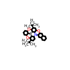 CC(C)(C)c1ccc2c3c1Oc1cccc4c1B3c1c(c(C(C)(C)C)cc3c1N2c1cc2ccccc2cc1O3)O4